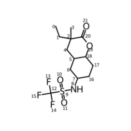 CCC1(C)CC2CC(NS(=O)(=O)C(F)(F)F)CCC2OC1=O